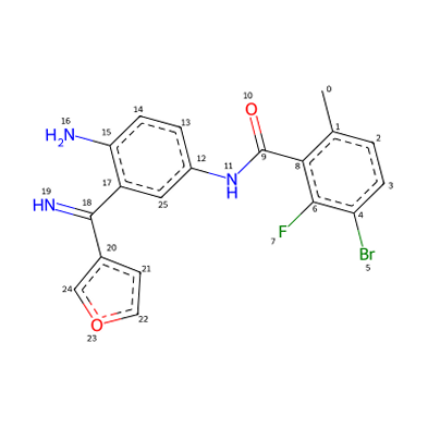 Cc1ccc(Br)c(F)c1C(=O)Nc1ccc(N)c(C(=N)c2ccoc2)c1